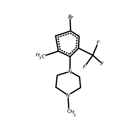 Cc1cc(Br)cc(C(F)(F)F)c1N1CCN(C)CC1